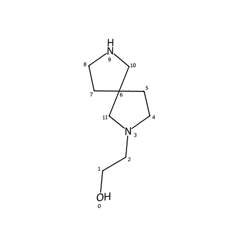 OCCN1CCC2(CCNC2)C1